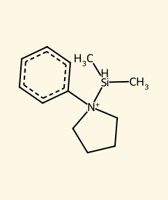 C[SiH](C)[N+]1(c2ccccc2)CCCC1